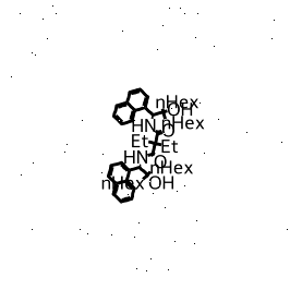 CCCCCCC(O)(CCCCCC)[C@@H](NC(=O)C(CC)(CC)C(=O)N[C@@H](c1cccc2ccccc12)C(O)(CCCCCC)CCCCCC)c1cccc2ccccc12